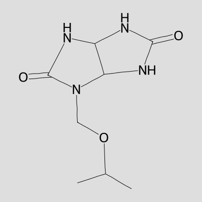 CC(C)OCN1C(=O)NC2NC(=O)NC21